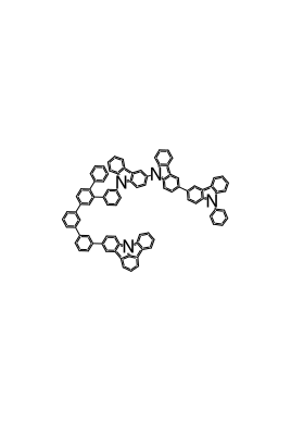 c1ccc(-c2ccc(-c3cccc(-c4cccc(-c5ccc6c(c5)c5cccc7c8ccccc8n6c75)c4)c3)cc2-c2cccc(-n3c4ccccc4c4cc(-n5c6ccccc6c6cc(-c7ccc8c(c7)c7ccccc7n8-c7ccccc7)ccc65)ccc43)c2)cc1